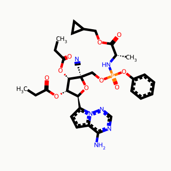 CCC(=O)O[C@H]1[C@H](c2ccc3c(N)ncnn23)O[C@](C#N)(COP(=O)(N[C@@H](C)C(=O)OCC2CC2)Oc2ccccc2)[C@H]1OC(=O)CC